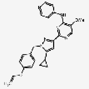 C=COc1ccc(Cn2nc(-c3ncc(OC)c(Nc4ccncc4)n3)cc2C2CC2)cc1